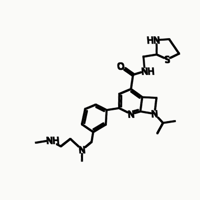 CNCCN(C)Cc1cccc(-c2cc(C(=O)NCC3NCCS3)c3c(n2)N(C(C)C)C3)c1